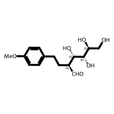 COc1ccc(CC[C@H](C=O)[C@H](O)[C@@H](O)[C@@H](O)CO)cc1